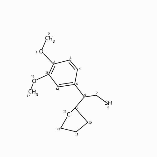 COc1ccc(C(CS)C2CCCC2)cc1OC